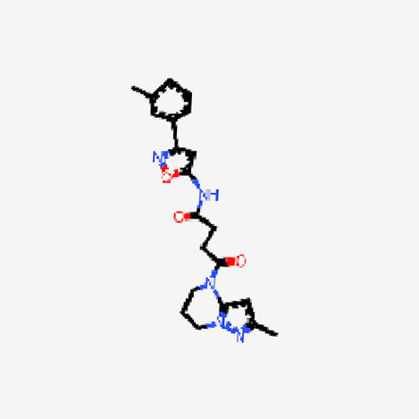 Cc1cccc(-c2cc(NC(=O)CCC(=O)N3CCCn4nc(C)cc43)on2)c1